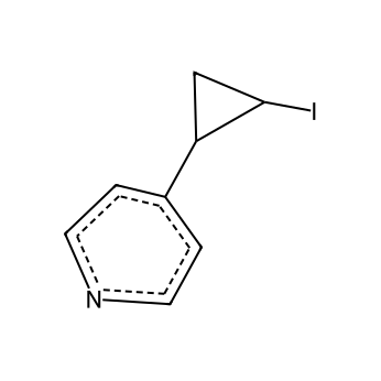 IC1CC1c1ccncc1